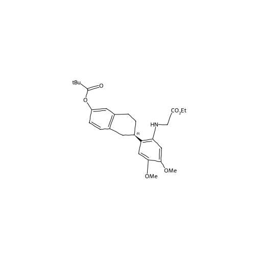 CCOC(=O)CNc1cc(OC)c(OC)cc1[C@@H]1CCc2cc(OC(=O)C(C)(C)C)ccc2C1